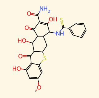 COc1cc(O)c2c(c1)SC1CC3C(NC(=S)c4ccccc4)C(O)=C(C(N)=O)C(=O)C3C(O)C1C2=O